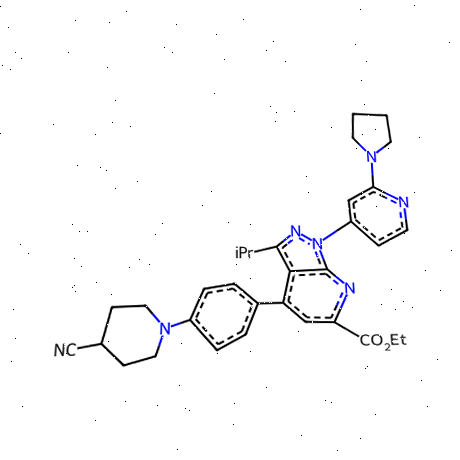 CCOC(=O)c1cc(-c2ccc(N3CCC(C#N)CC3)cc2)c2c(C(C)C)nn(-c3ccnc(N4CCCC4)c3)c2n1